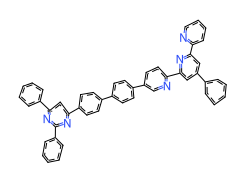 c1ccc(-c2cc(-c3ccccn3)nc(-c3ccc(-c4ccc(-c5ccc(-c6cc(-c7ccccc7)nc(-c7ccccc7)n6)cc5)cc4)cn3)c2)cc1